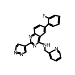 Fc1ccccc1-c1ccc2nc(-c3ccnnc3)nc(NCc3ccccn3)c2c1